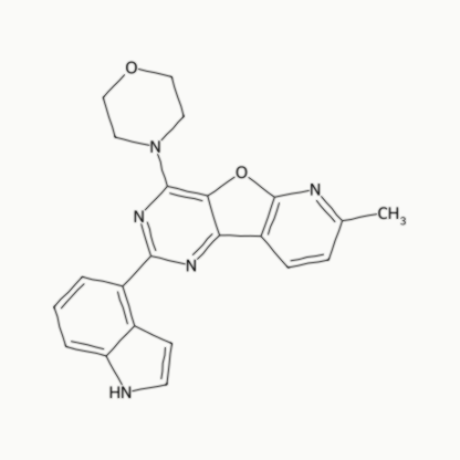 Cc1ccc2c(n1)oc1c(N3CCOCC3)nc(-c3cccc4[nH]ccc34)nc12